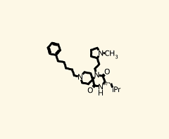 CC(C)C[C@@H]1NC(=O)C2(CCN(CCCCCc3ccccc3)CC2)N(CCC2CCCN2C)C1=O